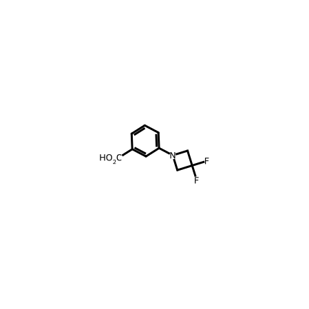 O=C(O)c1cccc(N2CC(F)(F)C2)c1